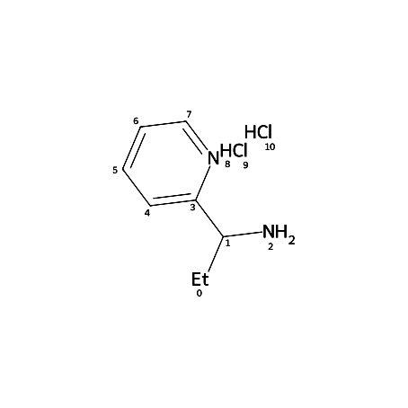 CCC(N)c1ccccn1.Cl.Cl